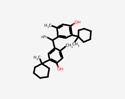 CCCC(c1cc(C2(C)CCCCC2)c(O)cc1C)c1cc(C2(C)CCCCC2)c(O)cc1C